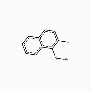 CCNc1c(C)ccc2ccccc12